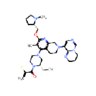 C=C(F)C(=O)N1CCN(c2c(C#N)c(OC[C@@H]3CCCN3C)nc3c2CCN(C2=CN=CN4CCCN=C24)C3)C[C@@H]1CC#N